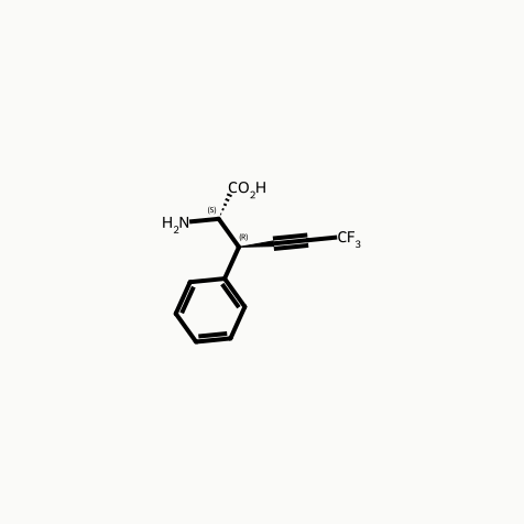 N[C@H](C(=O)O)[C@@H](C#CC(F)(F)F)c1ccccc1